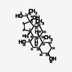 CC(O)[C@@]1(O)CC[C@H]2[C@@H]3C(O)CC4CC(O)CC[C@]4(C)[C@H]3CC[C@@]21C